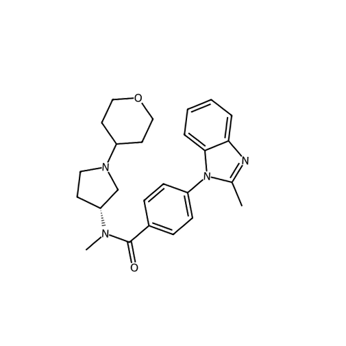 Cc1nc2ccccc2n1-c1ccc(C(=O)N(C)[C@@H]2CCN(C3CCOCC3)C2)cc1